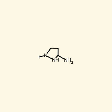 NC1CCN(I)N1